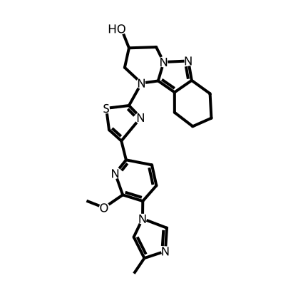 COc1nc(-c2csc(N3CC(O)Cn4nc5c(c43)CCCC5)n2)ccc1-n1cnc(C)c1